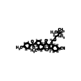 Cc1ccc(S(=O)(=O)n2ccc3c(C(=O)c4nc5ccc(C#N)cc5n4COCC[Si](C)(C)C)c(C(F)(F)F)cc(C)c32)cc1